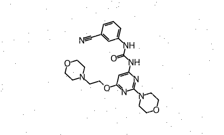 N#Cc1cccc(NC(=O)Nc2cc(OCCN3CCOCC3)nc(N3CCOCC3)n2)c1